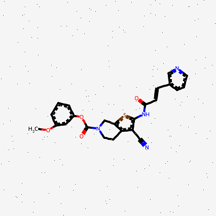 COc1cccc(OC(=O)N2CCc3c(sc(NC(=O)C=Cc4cccnc4)c3C#N)C2)c1